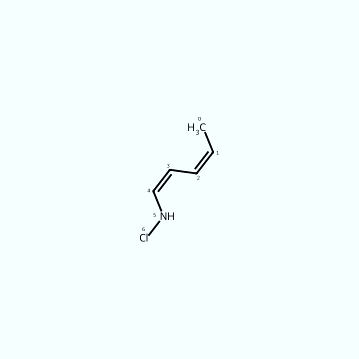 C/C=C\C=C/NCl